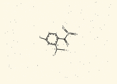 Cc1ccc(C(=O)[SH](=O)=O)c(C(I)I)c1